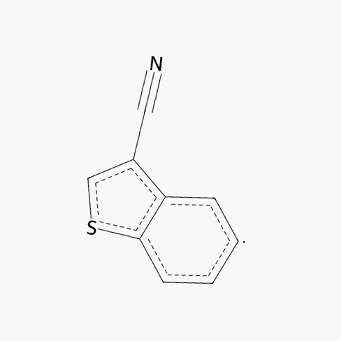 N#Cc1csc2cc[c]cc12